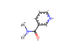 CCN(C(=O)c1cccnc1)C(C)C